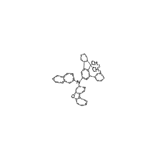 CC1(C)c2ccccc2-c2cc(N(c3ccc4ccccc4c3)c3ccc4c(c3)oc3ccccc34)cc(-c3ccccc3)c21